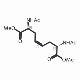 COC(=O)[C@H](C/C=C\C[C@H](NC(C)=O)C(=O)OC)NC(C)=O